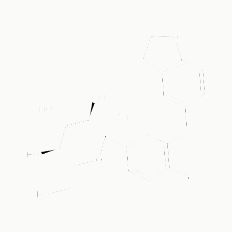 OC[C@H]1OC(O)(c2ccc(Cl)c(Cc3ccc4c(c3)CCO4)c2)[C@H](O)[C@@H](O)[C@@H]1O